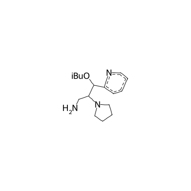 CC(C)COC(c1ccccn1)C(CN)N1CCCC1